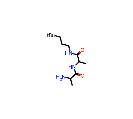 CC(N)C(=O)NC(C)C(=O)NCCCC(C)(C)C